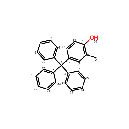 Cc1cc(C(c2ccccc2)(c2ccccc2)c2ccccc2)ccc1O